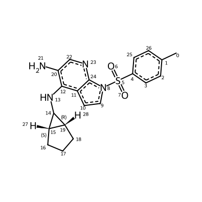 Cc1ccc(S(=O)(=O)n2ccc3c(NC4[C@H]5CCC[C@@H]45)c(N)cnc32)cc1